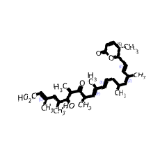 CC(=C/C(C)C/C=C/C(C)=C/C(C)C(=O)C(C)C(O)C(C)C/C(C)=C/C(=O)O)/C=C/C1OC(=O)C=C[C@@H]1C